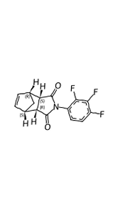 O=C1[C@@H]2[C@H](C(=O)N1c1ccc(F)c(F)c1F)[C@@H]1C=C[C@H]2C1